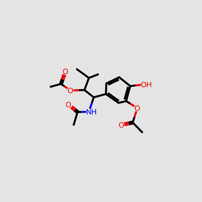 CC(=O)NC(c1ccc(O)c(OC(C)=O)c1)C(OC(C)=O)C(C)C